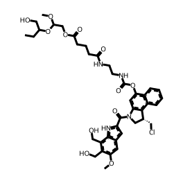 CCC(CO)OC(COC(=O)CCCC(=O)NCCNC(=O)Oc1cc2c(c3ccccc13)[C@H](CCl)CN2C(=O)c1cc2cc(OC)c(CO)c(CO)c2[nH]1)OC